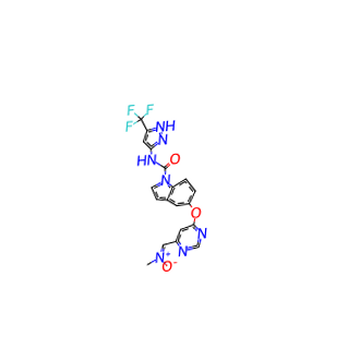 C/[N+]([O-])=C/c1cc(Oc2ccc3c(ccn3C(=O)Nc3cc(C(F)(F)F)[nH]n3)c2)ncn1